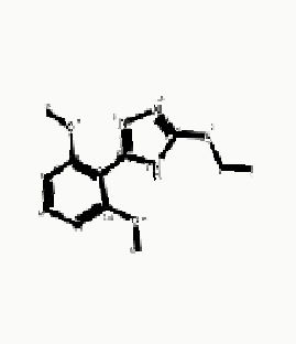 CCSc1nnc(-c2c(OC)cccc2OC)[nH]1